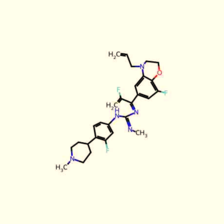 C=CCN1CCOc2c(F)cc(/C(=N/C(=N\C)Nc3ccc(C4CCN(C)CC4)c(F)c3)C(=C)F)cc21